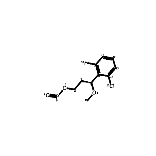 CO[C@@H](CCOP=O)c1c(F)cccc1Cl